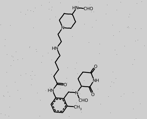 Cc1cccc(NC(=O)CCCCNCCN2CCC(NC=O)CC2)c1CN(C=O)C1CCC(=O)NC1=O